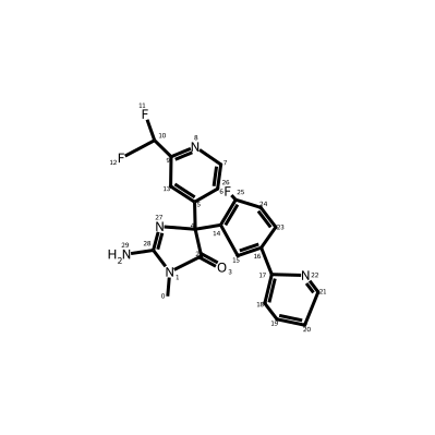 CN1C(=O)C(c2ccnc(C(F)F)c2)(c2cc(-c3ccccn3)ccc2F)N=C1N